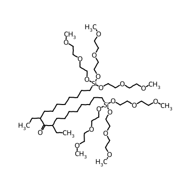 CCC(CCCCCCCC[Si](OCCOCCOC)(OCCOCCOC)OCCOCCOC)C(=O)C(CC)CCCCCCCC[Si](OCCOCCOC)(OCCOCCOC)OCCOCCOC